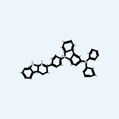 c1ccc(N(c2ccccc2)c2ccc3c(c2)c2ccccc2n3-c2ccc(C3=NC4Oc5ccccc5C4CC3)cc2)cc1